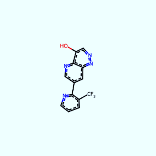 Oc1cnnc2cc(-c3ncccc3C(F)(F)F)cnc12